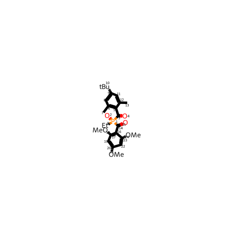 CCP(=O)(C(=O)c1c(C)cc(C(C)(C)C)cc1C)C(=O)c1c(OC)cc(OC)cc1OC